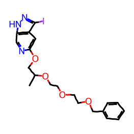 CC(COc1cc2c(I)n[nH]c2cn1)OCCOCCOCc1ccccc1